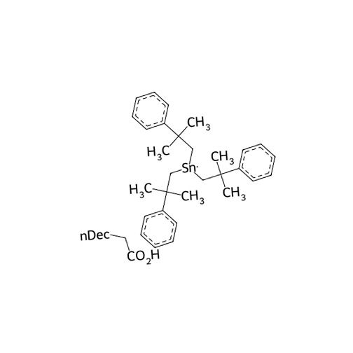 CC(C)([CH2][Sn]([CH2]C(C)(C)c1ccccc1)[CH2]C(C)(C)c1ccccc1)c1ccccc1.CCCCCCCCCCCC(=O)O